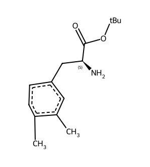 Cc1ccc(C[C@H](N)C(=O)OC(C)(C)C)cc1C